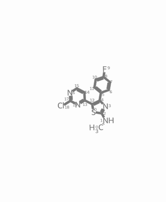 CNc1nc(-c2ccc(F)cc2)c(-c2ccnc(Cl)n2)s1